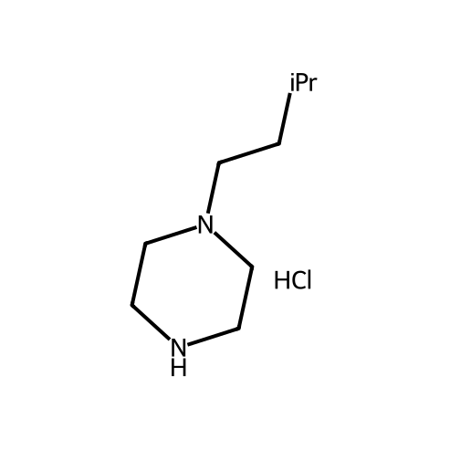 CC(C)CCN1CCNCC1.Cl